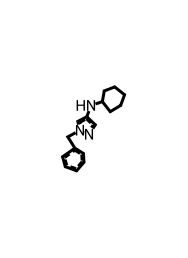 c1ccc(Cn2cc(NC3CCCCC3)cn2)cc1